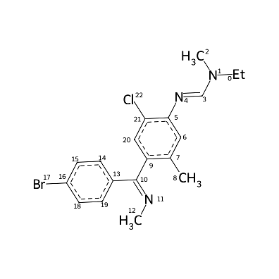 CCN(C)C=Nc1cc(C)c(C(=NC)c2ccc(Br)cc2)cc1Cl